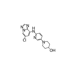 OC1CCN(c2ccc(Nc3cc(Cl)cn4ncnc34)nc2)CC1